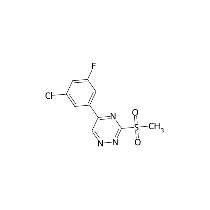 CS(=O)(=O)c1nncc(-c2cc(F)cc(Cl)c2)n1